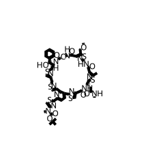 CNC(=O)C[C@@H]1NC(=O)c2csc(n2)-c2ccc(-c3nc(N(C)C(=O)OC(C)(C)C)cs3)nc2-c2csc(n2)-c2csc(n2)[C@H]([C@@H](O)c2ccccc2)NC(=O)CNC(=O)c2nc(sc2COC)NC(=O)c2nc1sc2C